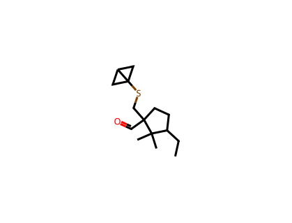 CCC1CCC(C=O)(CSC23CC2C3)C1(C)C